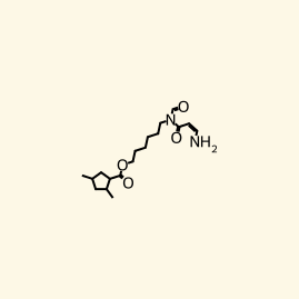 CC1CC(C)C(C(=O)OCCCCCCN(C=O)C(=O)/C=C\N)C1